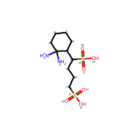 NC1(N)CCCCC1C(CCCS(=O)(=O)O)S(=O)(=O)O